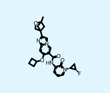 CC12CC(c3cn4cc(C(=O)Nc5cccn([C@H]6C[C@H]6F)c5=O)c(OC5CCC5)cc4n3)(CO1)C2